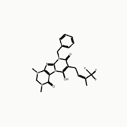 C/C(=C/Cc1c(O)n2c3c(nc2n(Cc2ccccc2)c1=O)N(C)CN(C)C3=O)C(F)(F)F